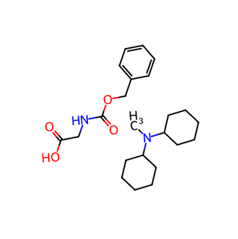 CN(C1CCCCC1)C1CCCCC1.O=C(O)CNC(=O)OCc1ccccc1